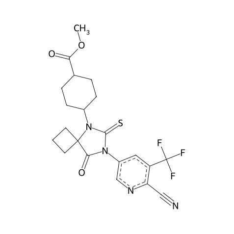 COC(=O)C1CCC(N2C(=S)N(c3cnc(C#N)c(C(F)(F)F)c3)C(=O)C23CCC3)CC1